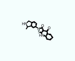 CC1NCc2ccc(-n3sc4[nH]c5ccccc5c(=O)c4c3=O)cc21